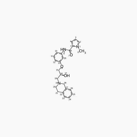 Cn1cccc1C(=O)Nc1cccc(OC[C@@H](O)CN2CCc3ccccc3C2)c1